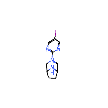 Ic1cnc(N2CC3CCC(C2)N3)nc1